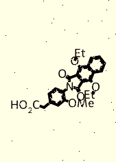 CCOc1c2c(c(OCC)c3ccccc13)C(=O)N(c1ccc(CC(=O)O)cc1OC)C2=O